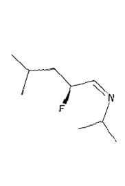 CC(C)C[C@H](F)/C=N\C(C)C